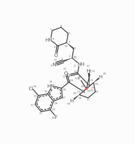 N#C[C@@H](C[C@@H]1CCCNC1=O)NC(=O)[C@@H]1[C@@H]2CC[C@@H](CC2(F)F)N1C(=O)c1cc2c(F)ccc(Cl)c2[nH]1